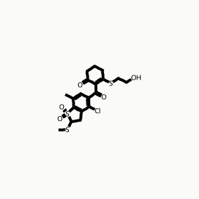 CSC1Cc2c(Cl)c(C(=O)C3=C(SCCO)CCCC3=O)cc(C)c2S1(=O)=O